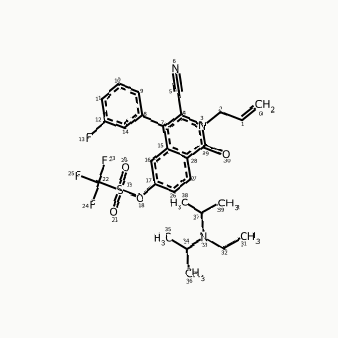 C=CCn1c(C#N)c(-c2cccc(F)c2)c2cc(OS(=O)(=O)C(F)(F)F)ccc2c1=O.CCN(C(C)C)C(C)C